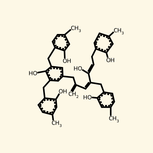 C=C(/C=C(Cc1ccc(C)cc1O)\C(O)=C\Cc1ccc(C)cc1O)Cc1cc(Cc2ccc(C)cc2O)c(O)c(Cc2ccc(C)cc2O)c1